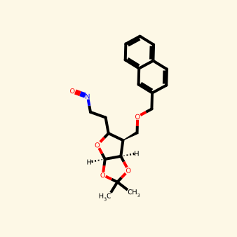 CC1(C)O[C@H]2OC(CCN=O)[C@@H](COCc3ccc4ccccc4c3)[C@H]2O1